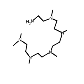 CN(C)CCN(C)CCN(C)CCN(C)CCN(C)CCN